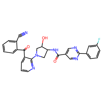 N#Cc1ccccc1C(=O)c1cccnc1N1CC(O)C(NC(=O)c2cnc(-c3cccc(F)c3)nc2)C1